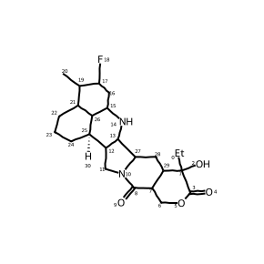 CCC1(O)C(=O)OCC2C(=O)N3CC4C(NC5CC(F)C(C)C6CCC[C@H]4C56)C3CC21